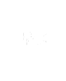 C=C(COC(=O)NPOC)C(=O)OCC